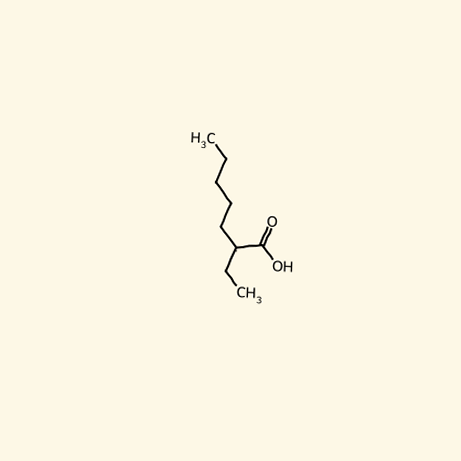 CCCCC[C](CC)C(=O)O